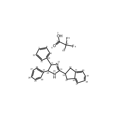 O=C(O)C(F)(F)F.c1ccc(C2N=C(C3Cc4ccccc4C3)NC2c2ccccc2)cc1